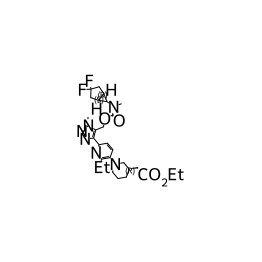 CCOC(=O)C[C@H]1CCCN(c2ccc(-c3nnn(C)c3COC(=O)N(C)C3[C@H]4CC(F)(F)C[C@@H]34)nc2CC)C1